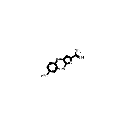 CCCCc1ccc(Nc2cc(C(=N)N)sc2SC)cc1